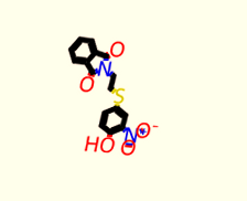 O=C1c2ccccc2C(=O)N1CCSc1ccc(O)c([N+](=O)[O-])c1